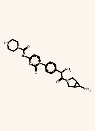 NC(C(=O)N1CC2C(N)C2C1)c1ccc(-n2ccc(NC(=O)N3CCNCC3)nc2=O)cc1